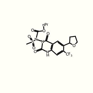 CCCOC(=O)N(n1c(=O)[nH]c2cc(C(F)(F)F)c(C3CCCO3)cc2c1=O)S(C)(=O)=O